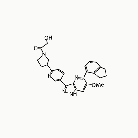 COc1cc2[nH]nc(-c3ccc(C4CCN(C(=O)CO)C4)nc3)c2nc1-c1cccc2c1CCC2